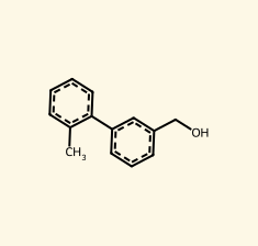 Cc1ccccc1-c1cccc(CO)c1